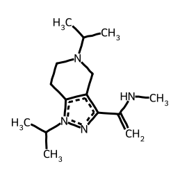 C=C(NC)c1nn(C(C)C)c2c1CN(C(C)C)CC2